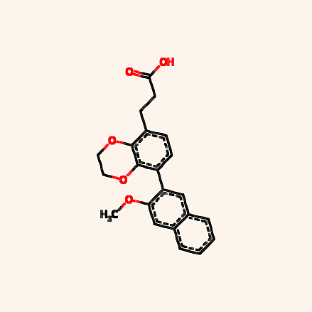 COc1cc2ccccc2cc1-c1ccc(CCC(=O)O)c2c1OCCO2